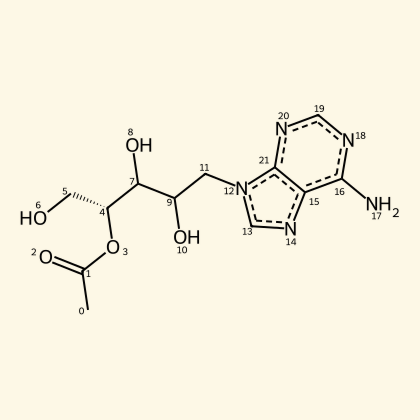 CC(=O)O[C@H](CO)C(O)C(O)Cn1cnc2c(N)ncnc21